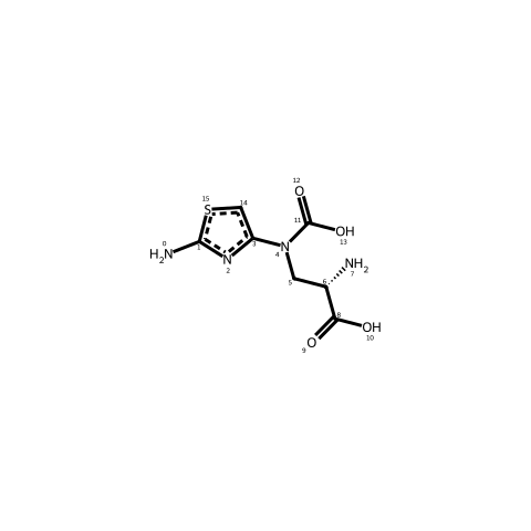 Nc1nc(N(C[C@H](N)C(=O)O)C(=O)O)cs1